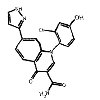 NC(=O)c1cn(-c2ccc(O)cc2Cl)c2cc(-c3cc[nH]n3)ccc2c1=O